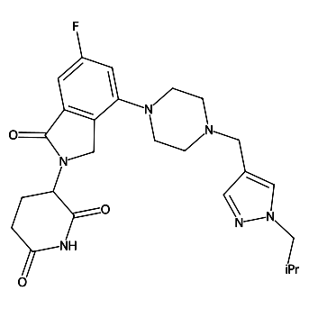 CC(C)Cn1cc(CN2CCN(c3cc(F)cc4c3CN(C3CCC(=O)NC3=O)C4=O)CC2)cn1